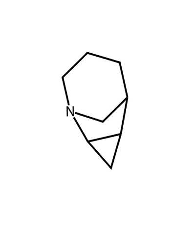 C1CC2CN(C1)C1CC21